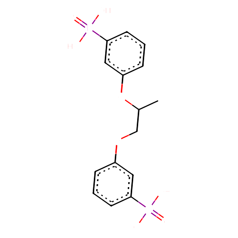 CC(COc1cccc(P(=O)(O)O)c1)Oc1cccc(P(=O)(O)O)c1